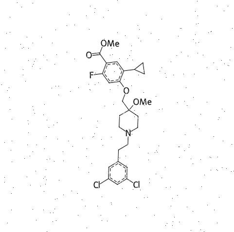 COC(=O)c1cc(C2CC2)c(OCC2(OC)CCN(CCc3cc(Cl)cc(Cl)c3)CC2)cc1F